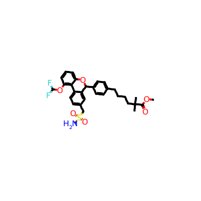 COC(=O)C(C)(C)CCCCc1ccc(C2Oc3cccc(OC(F)F)c3-c3ccc(CS(N)(=O)=O)cc32)cc1